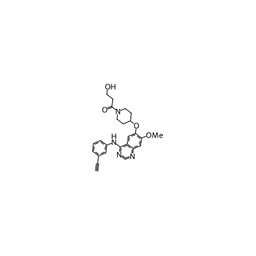 C#Cc1cccc(Nc2ncnc3cc(OC)c(OC4CCN(C(=O)CCO)CC4)cc23)c1